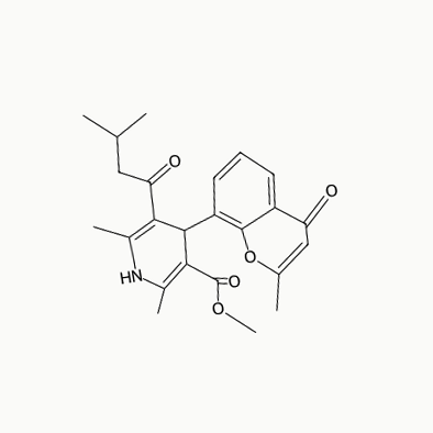 COC(=O)C1=C(C)NC(C)=C(C(=O)CC(C)C)C1c1cccc2c(=O)cc(C)oc12